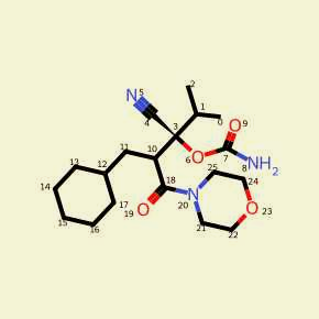 CC(C)[C@](C#N)(OC(N)=O)C(CC1CCCCC1)C(=O)N1CCOCC1